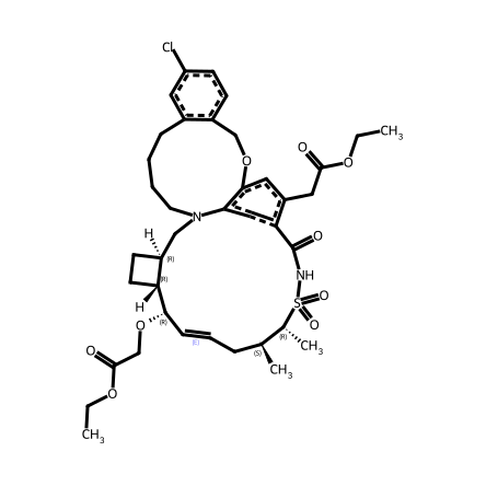 CCOC(=O)CO[C@H]1/C=C/C[C@H](C)[C@@H](C)S(=O)(=O)NC(=O)c2cc3c(cc2CC(=O)OCC)OCc2ccc(Cl)cc2CCCCN3C[C@@H]2CC[C@H]21